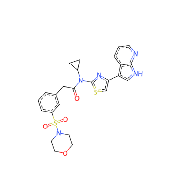 O=C(Cc1cccc(S(=O)(=O)N2CCOCC2)c1)N(c1nc(-c2c[nH]c3ncccc23)cs1)C1CC1